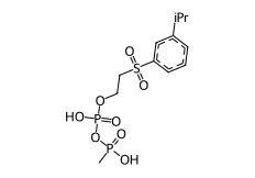 CC(C)c1cccc(S(=O)(=O)CCOP(=O)(O)OP(C)(=O)O)c1